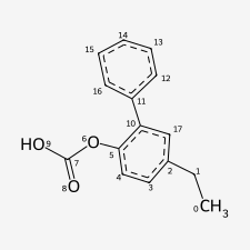 CCc1ccc(OC(=O)O)c(-c2ccccc2)c1